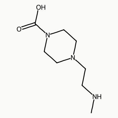 CNCCN1CCN(C(=O)O)CC1